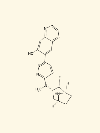 CN(c1ccc(-c2cc3cccnc3cc2O)nn1)[C@H]1C[C@@H]2CC[C@@H](N2)[C@H]1F